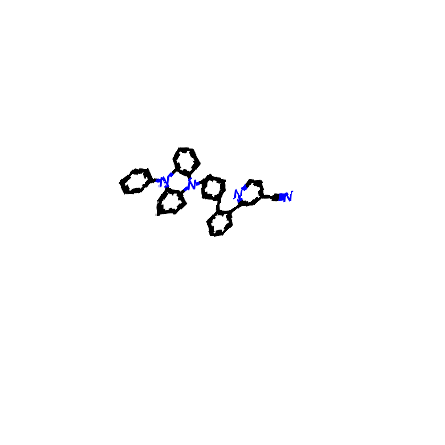 N#Cc1ccnc(-c2ccccc2-c2cccc(N3c4ccccc4N(c4ccccc4)c4ccccc43)c2)c1